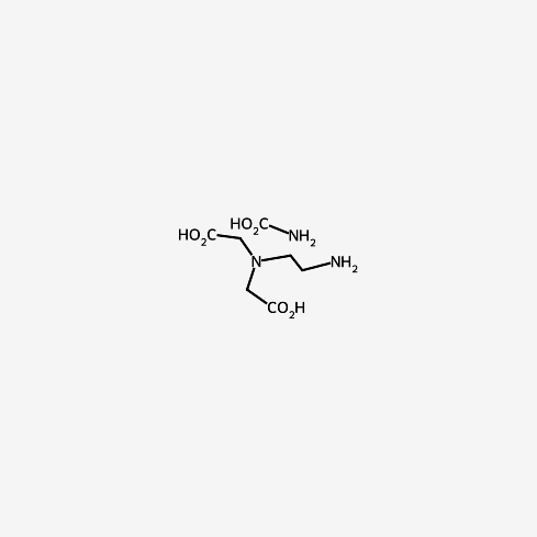 NC(=O)O.NCCN(CC(=O)O)CC(=O)O